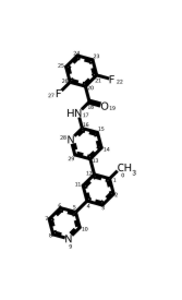 Cc1ccc(-c2cccnc2)cc1-c1ccc(NC(=O)c2c(F)cccc2F)nc1